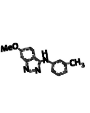 COc1ccc2c(Nc3cccc(C)c3)ncnc2c1